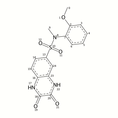 COc1ccccc1N(C)S(=O)(=O)c1ccc2[nH]c(=O)c(=O)[nH]c2c1